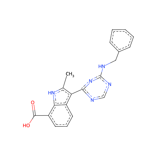 Cc1[nH]c2c(C(=O)O)cccc2c1-c1ncnc(NCc2ccccc2)n1